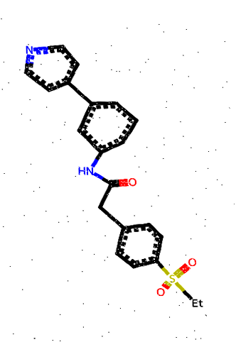 CCS(=O)(=O)c1ccc(CC(=O)Nc2cccc(-c3ccncc3)c2)cc1